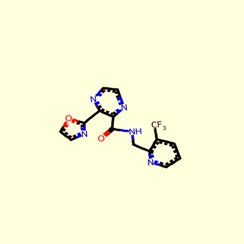 O=C(NCc1ncccc1C(F)(F)F)c1nccnc1-c1ncco1